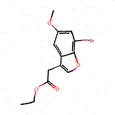 CCOC(=O)Cc1coc2c(Br)cc(OC)cc12